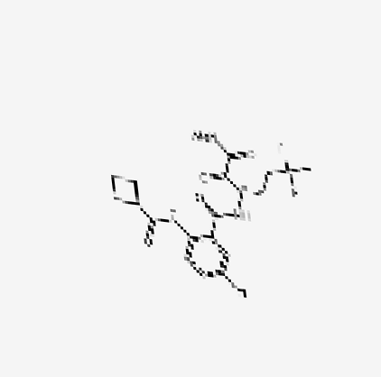 CNC(=O)C(=O)[C@H](CCC(C)(F)F)NC(=O)c1cc(Cl)ccc1NC(=O)C1CCC1